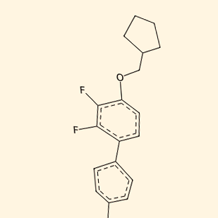 Cc1ccc(-c2ccc(OCC3CCCC3)c(F)c2F)cc1